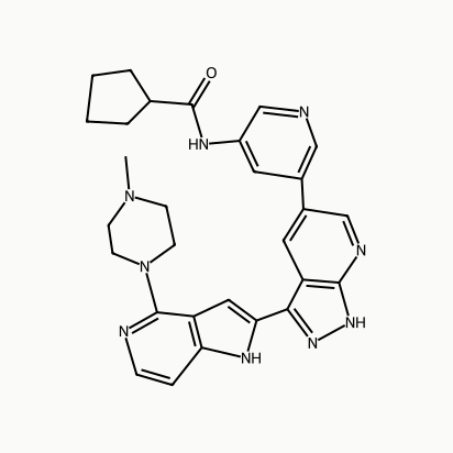 CN1CCN(c2nccc3[nH]c(-c4n[nH]c5ncc(-c6cncc(NC(=O)C7CCCC7)c6)cc45)cc23)CC1